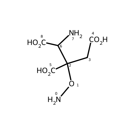 NOC(CC(=O)O)(C(=O)O)C(N)C(=O)O